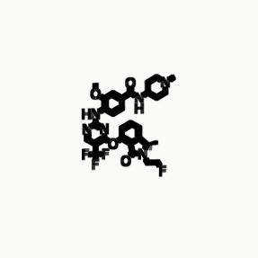 COc1cc(C(=O)NC2CCN(C)CC2)ccc1Nc1ncc(C(F)(F)F)c(Oc2cccc3c2C(=O)N(CCF)[C@@H]3C)n1